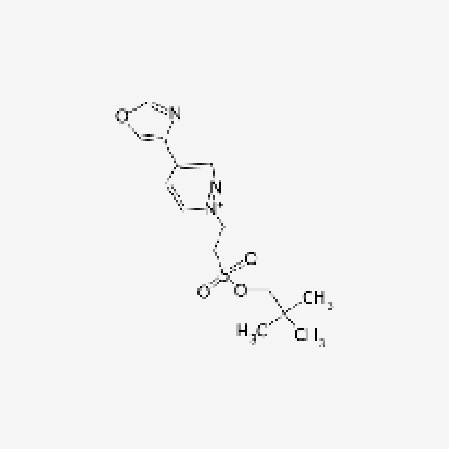 CC(C)(C)COS(=O)(=O)CC[n+]1ccc(-c2cocn2)cn1